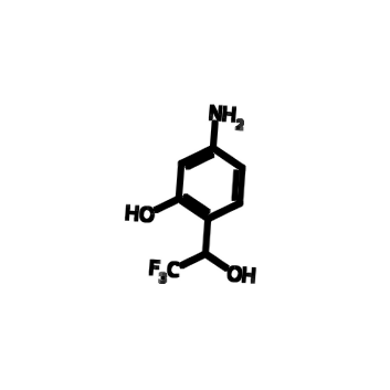 Nc1ccc(C(O)C(F)(F)F)c(O)c1